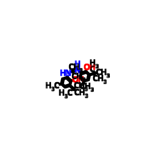 Cc1cc(NC(C)(C)Nc2cc(C)cc(C(C)(C)C)c2O)c(O)c(C(C)(C)C)c1